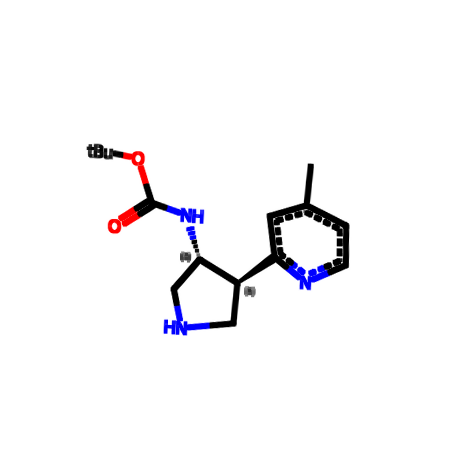 Cc1ccnc([C@H]2CNC[C@@H]2NC(=O)OC(C)(C)C)c1